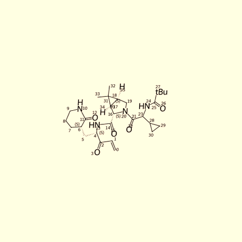 C=CC(=O)[C@H](C[C@@H]1CCCNC1=O)NC(=O)[C@@H]1[C@@H]2[C@H](CN1C(=O)C(NC(=O)C(C)(C)C)C1CC1)C2(C)C